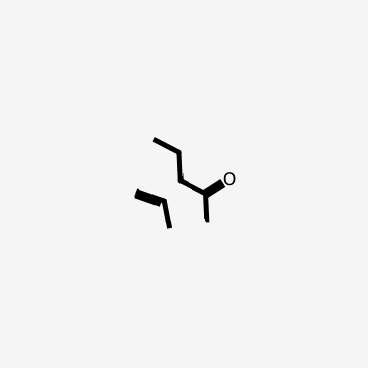 C=CC.CCCC(C)=O